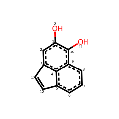 Oc1cc2c3c(cccc3c1O)C=C2